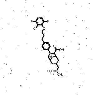 CN(C)CC1CC2CC(c3ccc(CCCOc4c(F)ccc(F)c4Cl)cc3)=C(C(=O)O)C(C1)N2